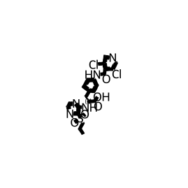 CCCS(=O)(=O)c1nccnc1N[C@@H](Cc1ccc(NC(=O)c2c(Cl)cncc2Cl)cc1)C(=O)O